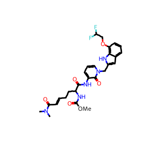 COC(=O)NC(CC/C=C/C(=O)N(C)C)C(=O)Nc1cccn(Cc2cc3cccc(OCC(F)F)c3[nH]2)c1=O